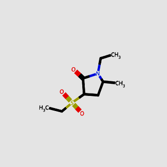 CCN1C(=O)C(S(=O)(=O)CC)CC1C